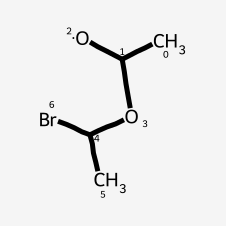 CC([O])OC(C)Br